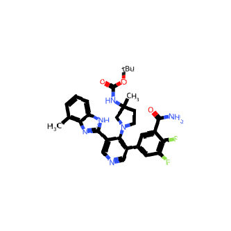 Cc1cccc2[nH]c(-c3cncc(-c4cc(F)c(F)c(C(N)=O)c4)c3N3CCC(C)(NC(=O)OC(C)(C)C)C3)nc12